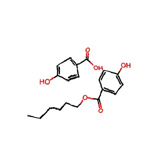 CCCCCCOC(=O)c1ccc(O)cc1.O=C(O)c1ccc(O)cc1